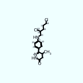 CC1CC(=O)NN=C1c1ccc(NCC(Cl)CCCCl)cc1